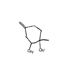 C=C1CCC(C)(O)C(O)C1